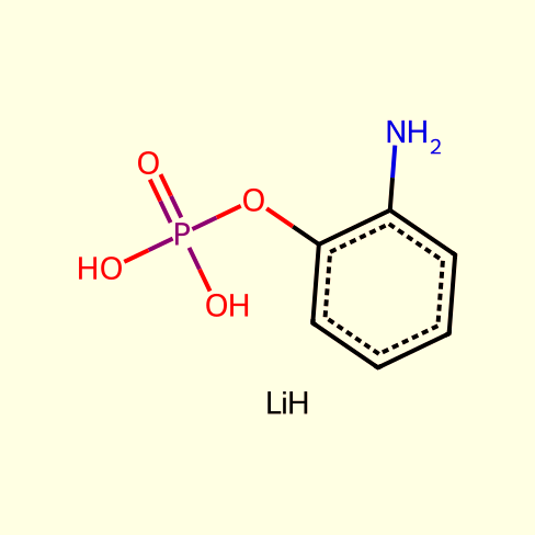 Nc1ccccc1OP(=O)(O)O.[LiH]